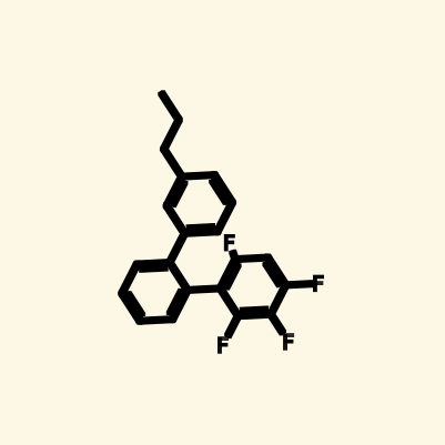 CCCc1cccc(-c2ccccc2-c2c(F)cc(F)c(F)c2F)c1